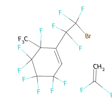 C=C(F)F.FC(F)(F)C1(F)C(C(F)(F)C(F)(F)Br)=CC(F)(F)C(F)(F)C1(F)F